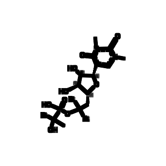 CCC(CC)(C[C@H]1O[C@@H](c2cn(C)c(=O)n(C)c2=O)[C@H](O)[C@@H]1O)OP(=O)(O)C(C)(O)CC